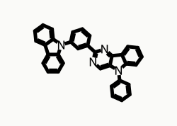 c1ccc(-n2c3ccccc3c3nc(-c4cccc(-n5c6ccccc6c6ccccc65)c4)ncc32)cc1